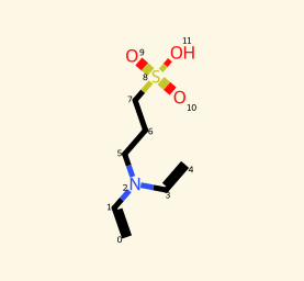 C=CN(C=C)CCCS(=O)(=O)O